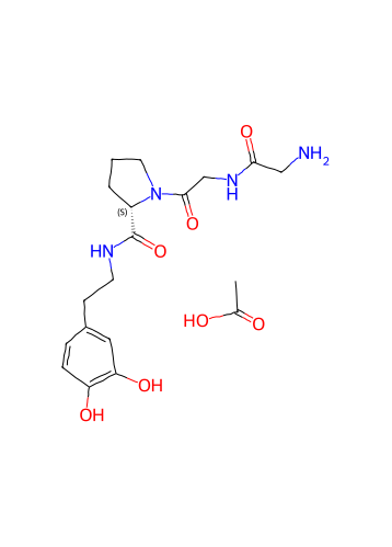 CC(=O)O.NCC(=O)NCC(=O)N1CCC[C@H]1C(=O)NCCc1ccc(O)c(O)c1